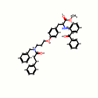 COC(=O)C(Cc1ccc(OCCCN(Cc2ccccc2)C(=O)CCc2ccccc2)cc1)Nc1ccccc1C(=O)c1ccccc1